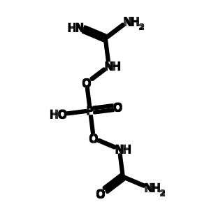 N=C(N)NOP(=O)(O)ONC(N)=O